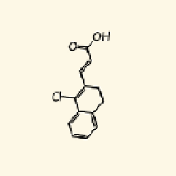 O=C(O)C=CC1=C(Cl)c2ccccc2CC1